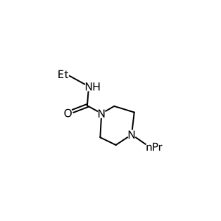 CCCN1CCN(C(=O)NCC)CC1